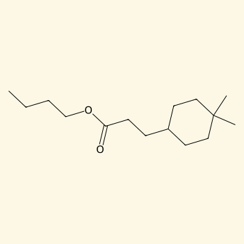 CCCCOC(=O)CCC1CCC(C)(C)CC1